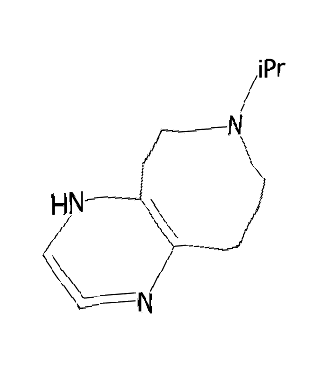 CC(C)N1CCC2=C(C1)NC=C=N2